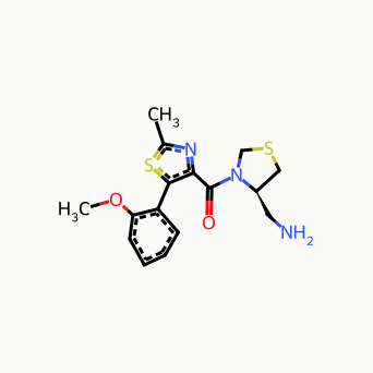 COc1ccccc1-c1sc(C)nc1C(=O)N1CSC[C@H]1CN